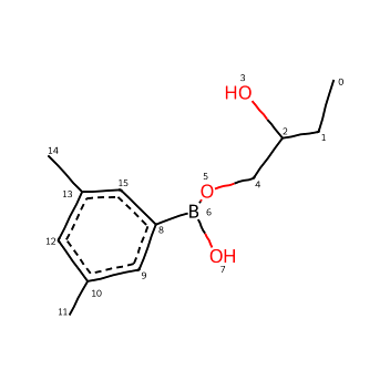 CCC(O)COB(O)c1cc(C)cc(C)c1